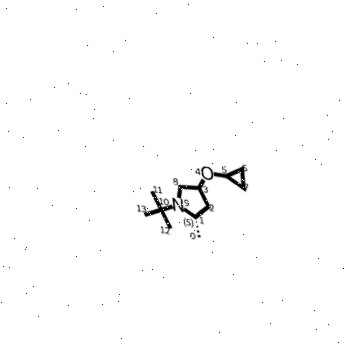 C[C@H]1CC(OC2CC2)CN1C(C)(C)C